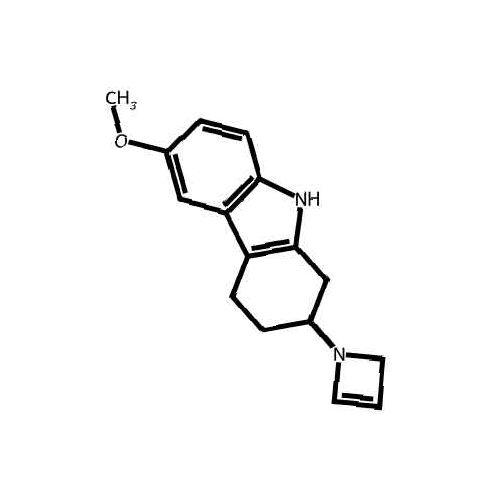 COc1ccc2[nH]c3c(c2c1)CCC(N1C=CC1)C3